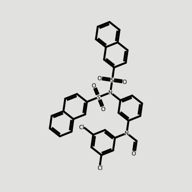 O=CN(c1cc(Cl)cc(Cl)c1)c1cccc(N(S(=O)(=O)c2ccc3ccccc3c2)S(=O)(=O)c2ccc3ccccc3c2)c1